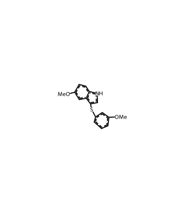 COc1cccc(Sc2c[nH]c3ccc(OC)cc23)c1